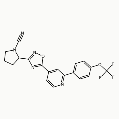 N#CN1CCCC1c1noc(-c2ccnc(-c3ccc(OC(F)(F)F)cc3)c2)n1